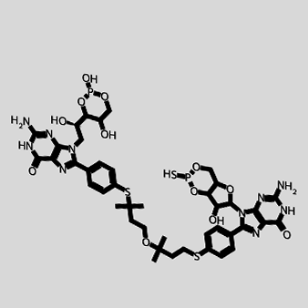 CC(C)(CCSc1ccc(-c2nc3c(=O)[nH]c(N)nc3n2C2OC3COP(S)OC3C2O)cc1)OCCC(C)(C)Sc1ccc(-c2nc3c(=O)[nH]c(N)nc3n2C[C@@H](O)C2OP(O)OCC2O)cc1